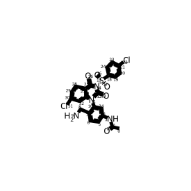 CC(=O)Nc1ccc(CN)c(-n2c(=O)n(S(=O)(=O)c3ccc(Cl)cc3)c(=O)c3ccc(Cl)cc32)c1